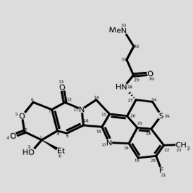 CC[C@@]1(O)C(=O)OCc2c1cc1n(c2=O)Cc2c-1nc1cc(F)c(C)c3c1c2[C@H](NC(=O)CCNC)CS3